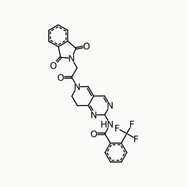 O=C(NC1N=CC2=CN(C(=O)CN3C(=O)c4ccccc4C3=O)CCC2=N1)c1ccccc1C(F)(F)F